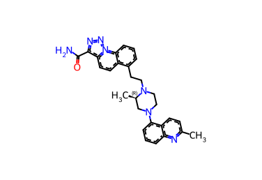 Cc1ccc2c(N3CCN(CCc4cccc5c4ccc4c(C(N)=O)nnn45)[C@H](C)C3)cccc2n1